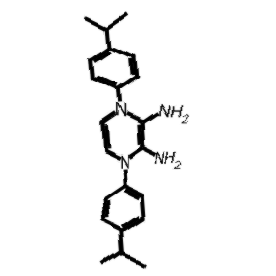 CC(C)c1ccc(N2C=CN(c3ccc(C(C)C)cc3)C(N)=C2N)cc1